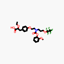 CCOC(Cc1ccc(OCCN(CCCOC(F)(F)C(F)(F)F)C(=O)Oc2ccccc2OC)cc1)C(=O)O